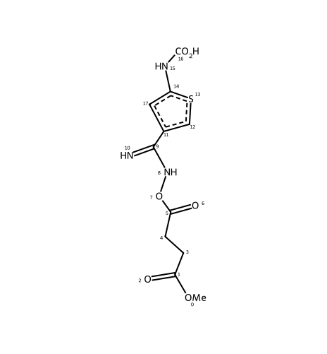 COC(=O)CCC(=O)ONC(=N)c1csc(NC(=O)O)c1